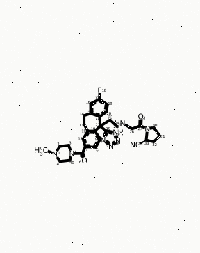 CN1CCN(C(=O)c2ccc3c(c2)CCc2cc(F)ccc2C3(CCNCC(=O)N2CCC[C@H]2C#N)c2nnn[nH]2)CC1